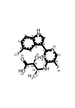 C[C@H](Nc1nc(-c2c[nH]c3ccc(F)cc23)ncc1F)[C@H](C)C(=O)O